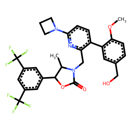 COc1ccc(CO)cc1-c1ccc(N2CCC2)nc1CN1C(=O)OC(c2cc(C(F)(F)F)cc(C(F)(F)F)c2)C1C